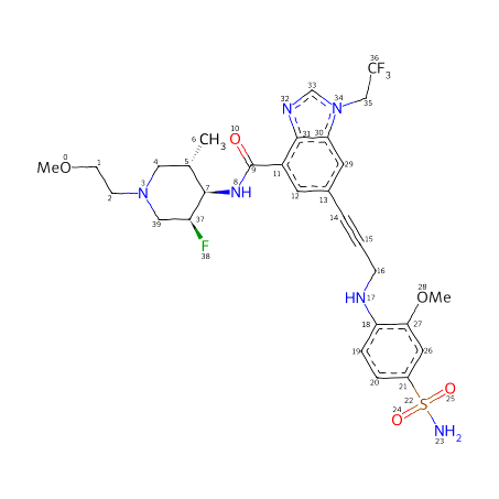 COCCN1C[C@H](C)[C@@H](NC(=O)c2cc(C#CCNc3ccc(S(N)(=O)=O)cc3OC)cc3c2ncn3CC(F)(F)F)[C@@H](F)C1